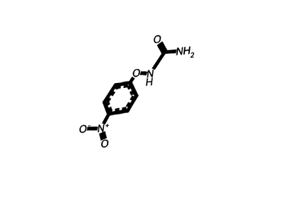 NC(=O)NOc1ccc([N+](=O)[O-])cc1